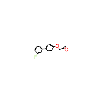 Fc1cccc(-c2ccc(OCC3CO3)cc2)c1